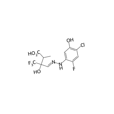 CC(C(=O)O)C(O)(C=NNc1cc(O)c(Cl)cc1F)C(F)(F)F